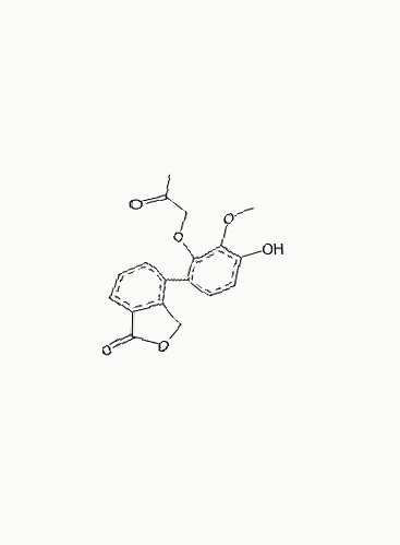 COc1c(O)ccc(-c2cccc3c2COC3=O)c1OCC(C)=O